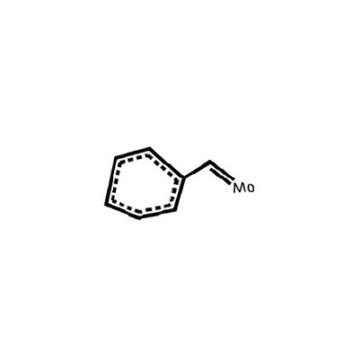 [Mo]=[CH]c1ccccc1